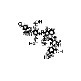 COc1ccc(/N=N/c2cc(OCCO)c(/N=N/c3c(SOOO)cc4c(-n5nc(C(=O)O)c(/N=N/c6ccc(S(=O)(=O)O)cc6C(=O)O)c5O)cccc4c3O)cc2OCCO)c(S(=O)(=O)O)c1